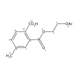 CC(=O)OCCOC(=O)c1cc(C)ccc1C(=O)O